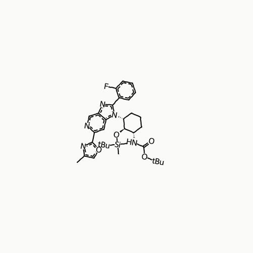 Cc1coc(-c2cc3c(cn2)nc(-c2ccccc2F)n3[C@@H]2CCC[C@H](NC(=O)OC(C)(C)C)[C@H]2O[Si](C)(C)C(C)(C)C)n1